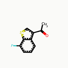 CC(=O)c1csc2c(F)cccc12